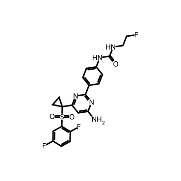 Nc1cc(C2(S(=O)(=O)c3cc(F)ccc3F)CC2)nc(-c2ccc(NC(=O)NCCF)cc2)n1